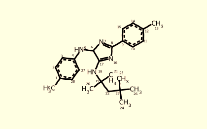 Cc1ccc(NC2N=C(c3ccc(C)cc3)N=C2NC(C)(C)CC(C)(C)C)cc1